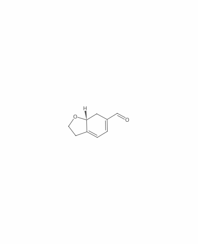 O=CC1=CC=C2CCO[C@@H]2C1